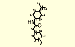 CN1CCN(CC(=O)NC2CCC(N(C)C)CC2)CC1